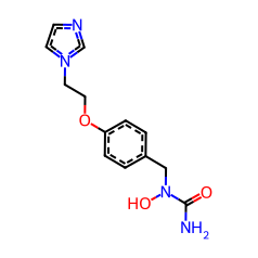 NC(=O)N(O)Cc1ccc(OCCn2ccnc2)cc1